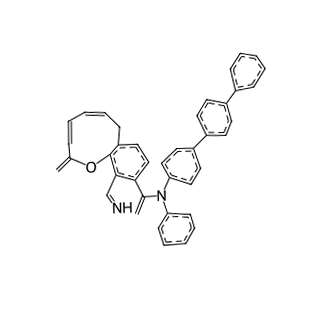 C=C1/C=C\C=C/Cc2ccc(C(=C)N(c3ccccc3)c3ccc(-c4ccc(-c5ccccc5)cc4)cc3)c(C=N)c2O1